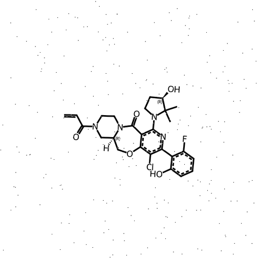 C=CC(=O)N1CCN2C(=O)c3c(N4CC[C@@H](O)C4(C)C)nc(-c4c(O)cccc4F)c(Cl)c3OC[C@H]2C1